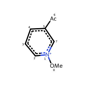 CO[n+]1cccc(C(C)=O)c1